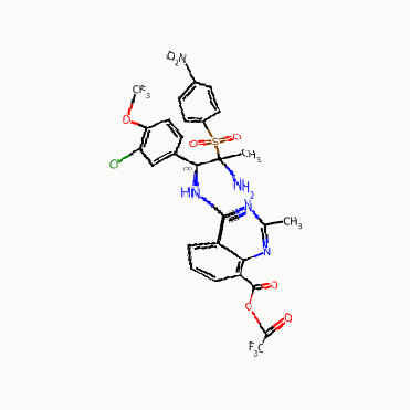 Cc1nc(N[C@@H](c2ccc(OC(F)(F)F)c(Cl)c2)C(C)(N)S(=O)(=O)c2ccc([N+](=O)[O-])cc2)c2cccc(C(=O)OC(=O)C(F)(F)F)c2n1